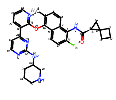 Cc1ccc2c(NC(=O)[C@H]3CC34CCC4)c(F)ccc2c1Oc1ncccc1-c1ccnc(NC2CCCNC2)n1